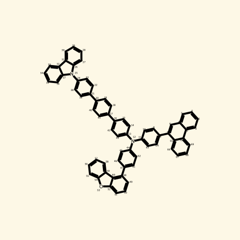 c1ccc2c(c1)cc(-c1ccc(N(c3ccc(-c4ccc(-c5ccc(-n6c7ccccc7c7ccccc76)cc5)cc4)cc3)c3ccc(-c4cccc5oc6ccccc6c45)cc3)cc1)c1ccccc12